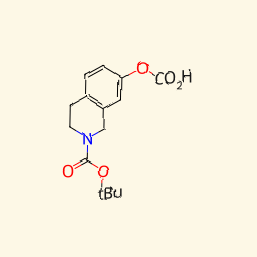 CC(C)(C)OC(=O)N1CCc2ccc(OC(=O)O)cc2C1